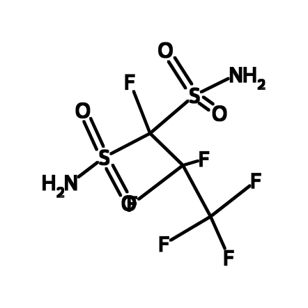 NS(=O)(=O)C(F)(C(F)(F)C(F)(F)F)S(N)(=O)=O